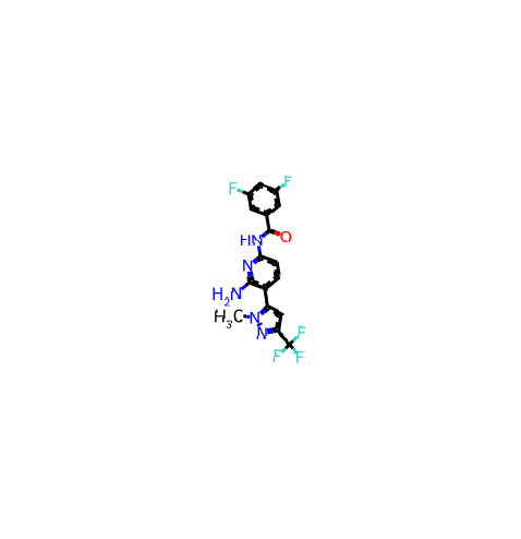 Cn1nc(C(F)(F)F)cc1-c1ccc(NC(=O)c2cc(F)cc(F)c2)nc1N